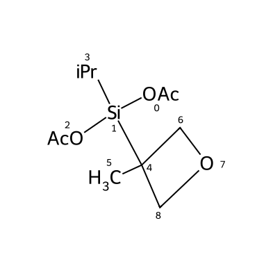 CC(=O)O[Si](OC(C)=O)(C(C)C)C1(C)COC1